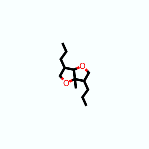 CCCC1COC2(C)C(CCC)COC12